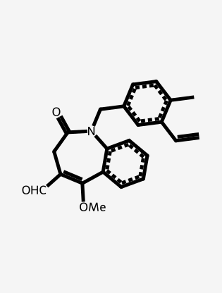 C=Cc1cc(CN2C(=O)CC(C=O)=C(OC)c3ccccc32)ccc1C